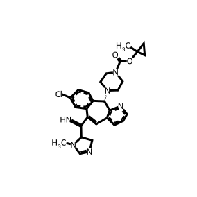 CN1C=NCC1C(=N)C1=Cc2cccnc2[C@@H](N2CCN(C(=O)OC3(C)CC3)CC2)c2ccc(Cl)cc21